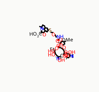 CC[C@H]1OC(=O)[C@H](C)[C@@H](O[C@H]2C[C@@](C)(OC)[C@@H](OC(=O)NCCOCCSc3cc4c5c(c3)c(=O)c(C(=O)O)cn5C(C)CC4)[C@H](C)O2)[C@H](C)[C@@H](OC2O[C@H](C)C[C@H](N(C)C)[C@H]2O)[C@](C)(O)C[C@@H](C)/C(=N\O)[C@H](C)[C@@H](O)[C@]1(C)O